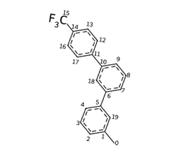 Cc1cccc(-c2cccc(-c3ccc(C(F)(F)F)cc3)c2)c1